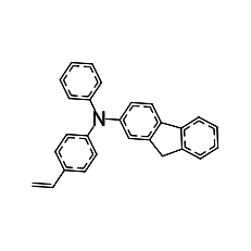 C=Cc1ccc(N(c2ccccc2)c2ccc3c(c2)Cc2ccccc2-3)cc1